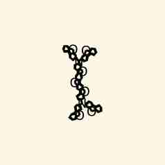 c1ccc2c(c1)oc1cc(N(c3ccc4c(c3)oc3ccccc34)c3ccc4c(c3)oc3cc5c(cc34)oc3cc4c(cc35)oc3cc(N(c5ccc6c(c5)oc5ccccc56)c5ccc6c(c5)oc5ccccc56)ccc34)ccc12